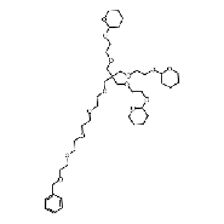 c1ccc(COCCOCCOCCOCCOCC(COCCOC2CCCCO2)(COCCOC2CCCCO2)COCCOC2CCCCO2)cc1